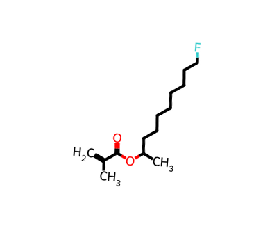 C=C(C)C(=O)OC(C)CCCCCCCCF